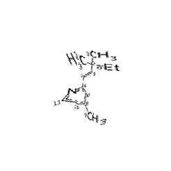 CCC(C)(C)/C=C/c1cc(C)ccn1